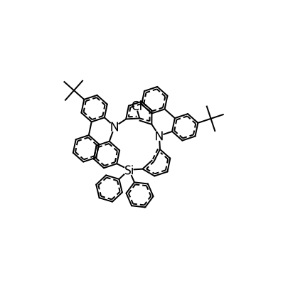 CC(C)(C)c1ccc(N2c3cccc(c3)[Si](c3ccccc3)(c3ccccc3)c3cccc(c3)N(c3ccc(C(C)(C)C)cc3-c3ccccc3)c3cccc2c3Cl)c(-c2ccccc2)c1